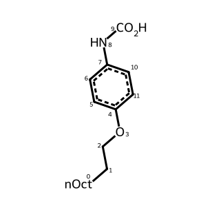 CCCCCCCCCCOc1ccc(NC(=O)O)cc1